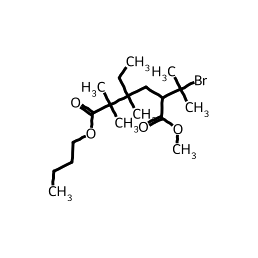 CCCCOC(=O)C(C)(C)C(C)(CC)CC(C(=O)OC)C(C)(C)Br